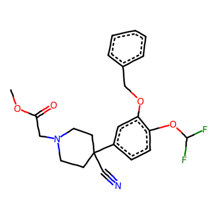 COC(=O)CN1CCC(C#N)(c2ccc(OC(F)F)c(OCc3ccccc3)c2)CC1